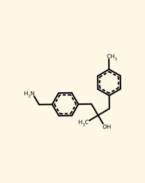 Cc1ccc(CC(C)(O)Cc2ccc(CN)cc2)cc1